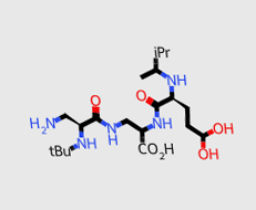 CC(C)C(C)N[C@@H](CCC(O)O)C(=O)NC(CNC(=O)[C@H](CN)NC(C)(C)C)C(=O)O